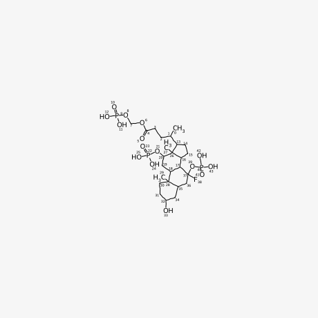 CC(CCC(=O)OCOP(=O)(O)O)C1CCC2C3C(CC(OP(=O)(O)O)C12C)C1(C)CCC(O)CC1CC3(F)OP(=O)(O)O